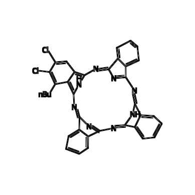 CCCCc1c(Cl)c(Cl)cc2c3nc4nc(nc5[nH]c(nc6nc(nc([nH]3)c12)-c1ccccc1-6)c1ccccc51)-c1ccccc1-4